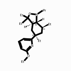 CCOc1cccc([C@]2(CC)C[C@H](CC)[C@@H]3[C@@H](C2)C(CC)(CC)ON3C(C)C)n1